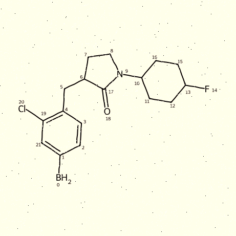 Bc1ccc(CC2CCN(C3CCC(F)CC3)C2=O)c(Cl)c1